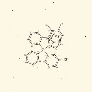 Cc1cccc(-c2ccccc2[P+](c2ccccc2)(c2ccccc2)c2ccccc2)c1C.[Cl-]